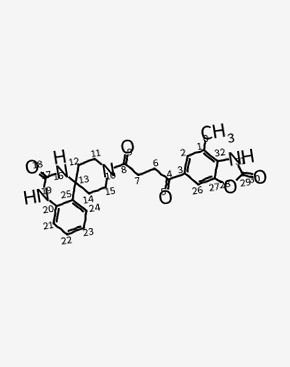 Cc1cc(C(=O)CCC(=O)N2CCC3(CC2)NC(=O)Nc2ccccc23)cc2oc(=O)[nH]c12